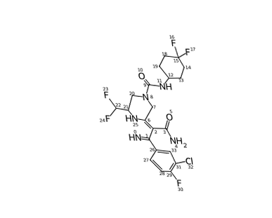 N=C(/C(C(N)=O)=C1/CN(C(=O)NC2CCC(F)(F)CC2)CC(C(F)F)N1)c1ccc(F)c(Cl)c1